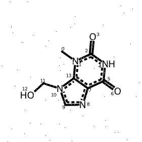 Cn1c(=O)[nH]c(=O)c2ncn(CO)c21